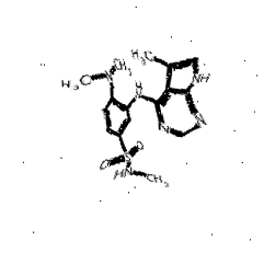 CNS(=O)(=O)c1ccc(N(C)C)c(Nc2ncnc3[nH]cc(C)c23)c1